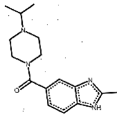 Cc1nc2cc(C(=O)N3CCN(C(C)C)CC3)ccc2[nH]1